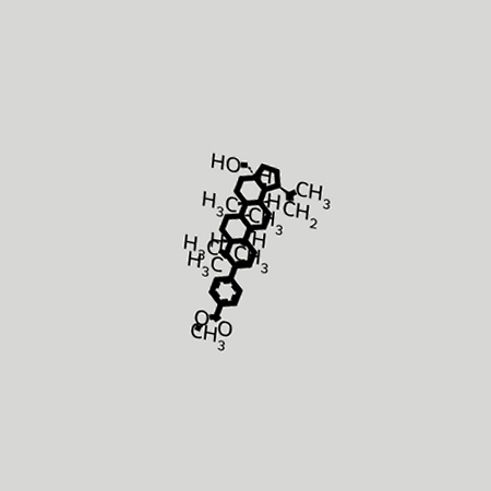 C=C(C)[C@@H]1CC[C@]2(CO)CC[C@]3(C)[C@H](CC[C@@H]4C5(C)CC=C(c6ccc(C(=O)OC)cc6)C(C)(C)[C@@H]5CC[C@]43C)[C@@H]12